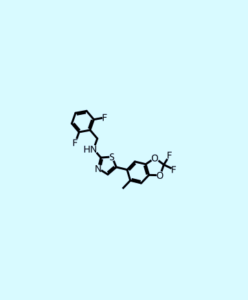 Cc1cc2c(cc1-c1cnc(NCc3c(F)cccc3F)s1)OC(F)(F)O2